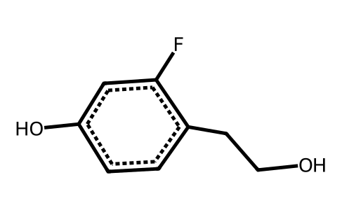 OCCc1ccc(O)cc1F